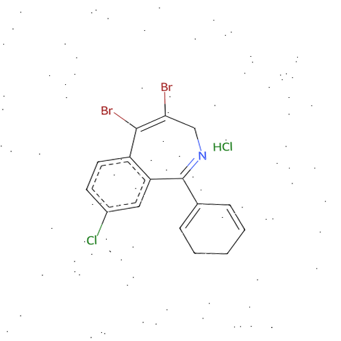 Cl.Clc1ccc2c(c1)C(C1=CCCC=C1)=NCC(Br)=C2Br